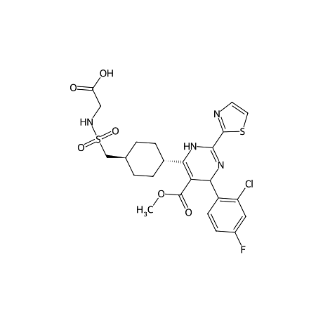 COC(=O)C1=C([C@H]2CC[C@H](CS(=O)(=O)NCC(=O)O)CC2)NC(c2nccs2)=NC1c1ccc(F)cc1Cl